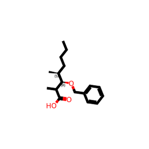 CCCC[C@H](C)[C@@H](OCc1ccccc1)C(C)C(=O)O